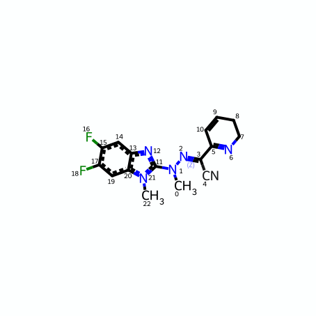 CN(/N=C(\C#N)C1=NCCC=C1)c1nc2cc(F)c(F)cc2n1C